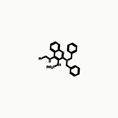 CCOC(=O)Nc1c(N(Cc2ccccc2)Cc2ccccc2)nc2ccccc2c1NCC(C)C